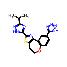 CC(C)c1n[nH]c(-c2nc3c(s2)CCOc2ccc(-c4nnn[nH]4)cc2-3)n1